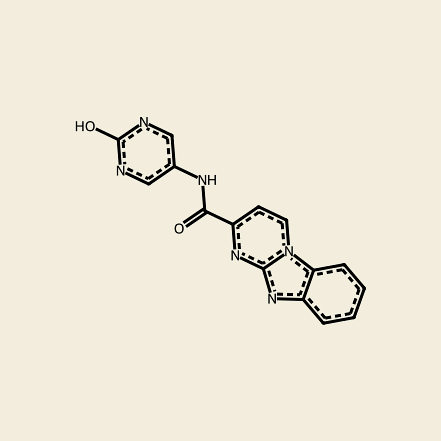 O=C(Nc1cnc(O)nc1)c1ccn2c(n1)nc1ccccc12